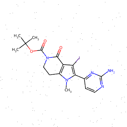 Cn1c2c(c(I)c1-c1ccnc(N)n1)C(=O)N(C(=O)OC(C)(C)C)CC2